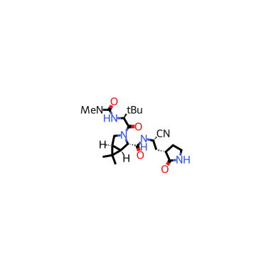 CNC(=O)N[C@H](C(=O)N1C[C@H]2[C@@H]([C@H]1C(=O)N[C@H](C#N)C[C@@H]1CCNC1=O)C2(C)C)C(C)(C)C